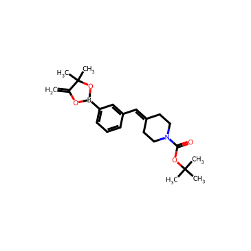 C=C1OB(c2cccc(C=C3CCN(C(=O)OC(C)(C)C)CC3)c2)OC1(C)C